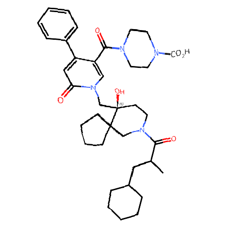 CC(CC1CCCCC1)C(=O)N1CC[C@@](O)(Cn2cc(C(=O)N3CCN(C(=O)O)CC3)c(-c3ccccc3)cc2=O)C2(CCCC2)C1